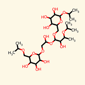 CC(C)OCC1OC(OCC(O)OC(OCC2OC(OC(C)C)C(O)C(O)C2O)C(O)C(C)OC(C)C)C(O)C(O)C1O